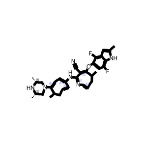 Cc1cc2c(F)c(O/C3=C(C#N)/C(NC4=C/C=C(/N5C[C@@H](C)N[C@@H](C)C5)C(C)C\C=C\4)=N\C=C\CC3C)cc(F)c2[nH]1